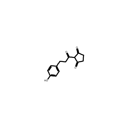 O=C1CCC(=O)C1C(=O)CCc1ccc(O)cc1